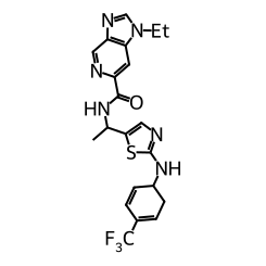 CCn1cnc2cnc(C(=O)NC(C)c3cnc(NC4C=CC(C(F)(F)F)=CC4)s3)cc21